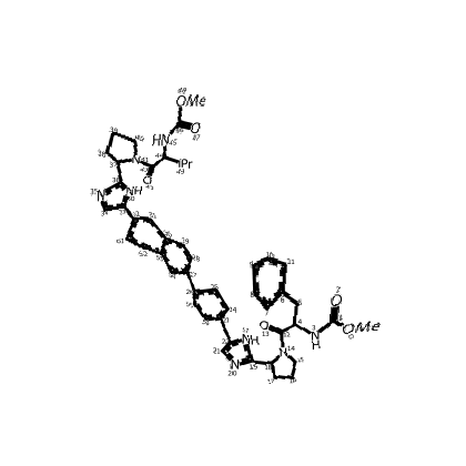 COC(=O)NC(Cc1ccccc1)C(=O)N1CCCC1c1ncc(-c2ccc(-c3ccc4cc(-c5cnc(C6CCCN6C(=O)C(NC(=O)OC)C(C)C)[nH]5)ccc4c3)cc2)[nH]1